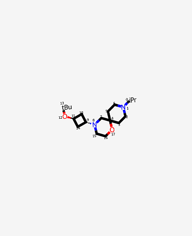 CC(C)N1CCC2(CC1)CN([C@H]1C[C@H](OC(C)(C)C)C1)CCO2